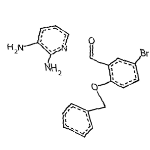 Nc1cccnc1N.O=Cc1cc(Br)ccc1OCc1ccccc1